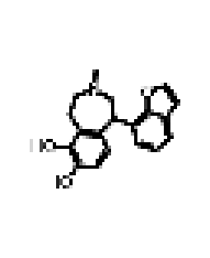 CN1CCc2c(ccc(O)c2O)C(c2cccc3ccoc23)C1